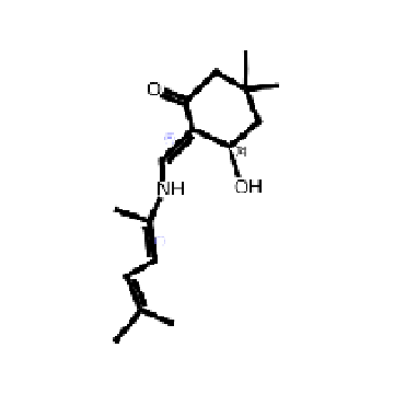 CC(C)=C/C=C(\C)N/C=C1/C(=O)CC(C)(C)C[C@H]1O